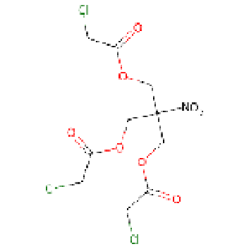 O=C(CCl)OCC(COC(=O)CCl)(COC(=O)CCl)[N+](=O)[O-]